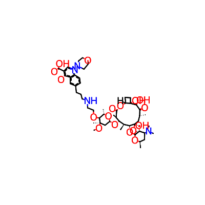 CO[C@]1(C)C[C@@H](C)C(=O)[C@@H](O)[C@@]2(O)CC[C@H]2OC(=O)[C@H](C)[C@@H](O[C@H]2C[C@@](C)(OC)[C@@H](OCCNCCCc3ccc4c(c3)c(=O)c(C(=O)O)cn4N3CCOCC3)[C@H](C)O2)[C@H](C)[C@H]1O[C@@H]1O[C@H](C)C[C@H](N(C)C)[C@H]1O